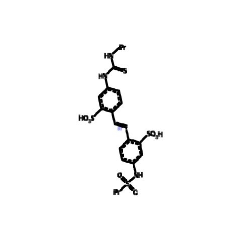 CC(C)NC(=S)Nc1ccc(/C=C/c2ccc(NS(=O)(=O)C(C)C)cc2S(=O)(=O)O)c(S(=O)(=O)O)c1